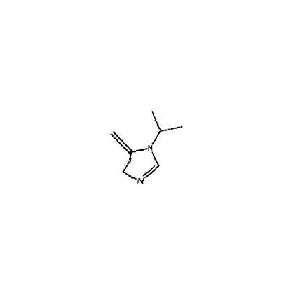 C=C1CN=CN1C(C)C